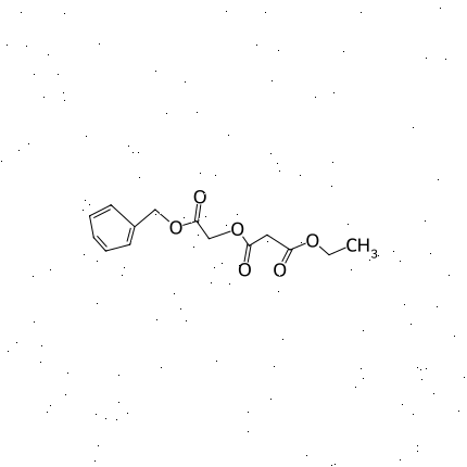 CCOC(=O)CC(=O)OCC(=O)OCc1ccccc1